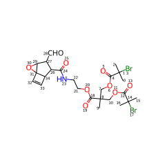 CC(C)(Br)C(=O)OCC(C)(COC(=O)C(C)(C)Br)C(=O)OCCNC(=O)C1C(C=O)C2OC23C=CC13